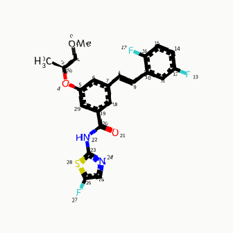 COC[C@H](C)Oc1cc(C=Cc2cc(F)ccc2F)cc(C(=O)Nc2ncc(F)s2)c1